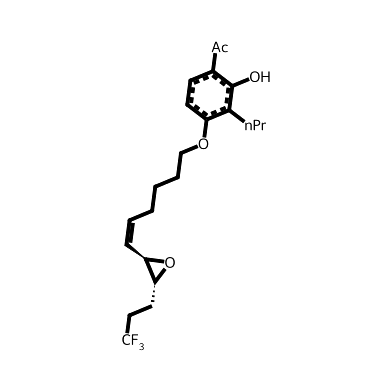 CCCc1c(OCCCC/C=C\[C@H]2O[C@@H]2CCC(F)(F)F)ccc(C(C)=O)c1O